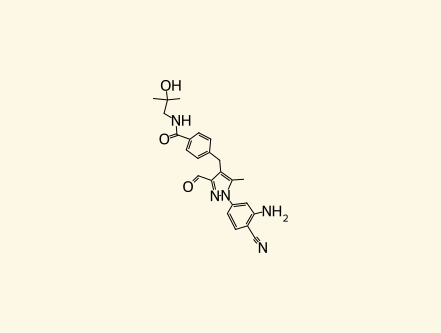 Cc1c(Cc2ccc(C(=O)NCC(C)(C)O)cc2)c(C=O)nn1-c1ccc(C#N)c(N)c1